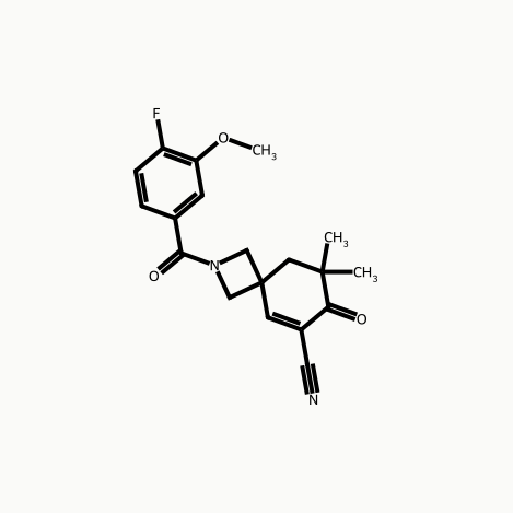 COc1cc(C(=O)N2CC3(C=C(C#N)C(=O)C(C)(C)C3)C2)ccc1F